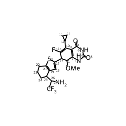 COC1c2[nH]c(=O)[nH]c(=O)c2C(C2CC2)=C(F)C1c1cc2c(s1)CCCC2C(N)C(F)(F)F